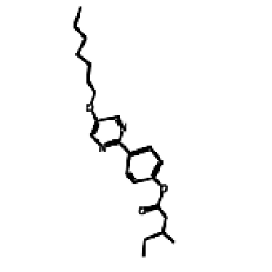 CCCCCCCOc1cnc(-c2ccc(OC(=O)CC(C)CC)cc2)nc1